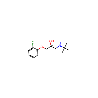 CC(C)(C)NC[C@H](O)COc1ccccc1Cl